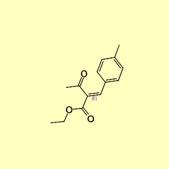 CCOC(=O)/C(=C/c1ccc(C)cc1)C(C)=O